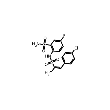 CC(=Cc1ccc(Cl)cc1)S(=O)(=O)Nc1ccc(F)cc1S(N)(=O)=O